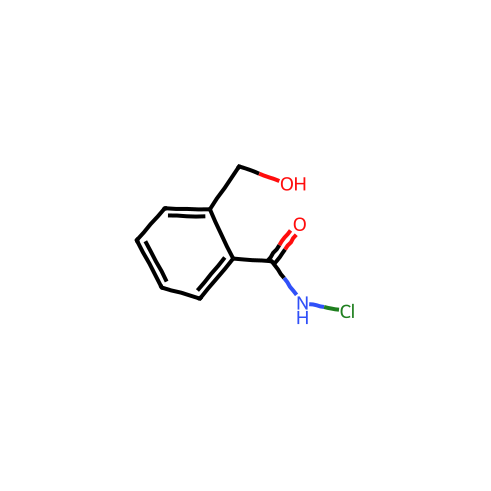 O=C(NCl)c1ccccc1CO